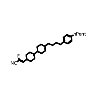 CCCCCc1ccc(CCCCC2CCC(C3CCC(C=C(F)C#N)CC3)CC2)cc1